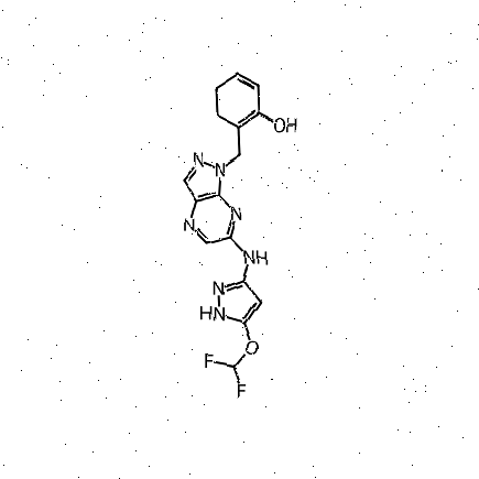 OC1=C(Cn2ncc3ncc(Nc4cc(OC(F)F)[nH]n4)nc32)CCC=C1